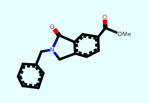 COC(=O)c1ccc2c(c1)C(=O)N(Cc1ccccc1)C2